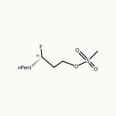 CCCCC[C@H](F)CCOS(C)(=O)=O